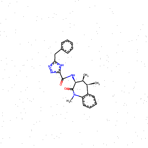 C[C@@H]1[C@H](NC(=O)c2nnc(Cc3ccccc3)[nH]2)C(=O)N(C)c2ccccc2[C@@H]1C